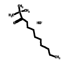 CCCCCCCCCC(=O)[N+](C)(C)C.[OH-]